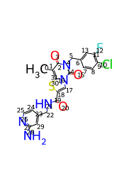 Cc1c(=O)n(Cc2ccc(Cl)c(F)c2)c(=O)n2cc(C(=O)NCc3ccnc(N)c3)sc12